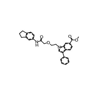 COC(=O)c1ccc2c(-c3ccccc3)cn(CCOCC(=O)Nc3ccc4c(c3)CCC4)c2c1